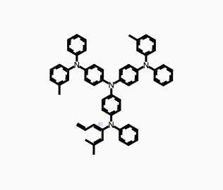 C=C/C=C(\C=C(C)C)N(c1ccccc1)c1ccc(N(c2ccc(N(c3ccccc3)c3cccc(C)c3)cc2)c2ccc(N(c3ccccc3)c3cccc(C)c3)cc2)cc1